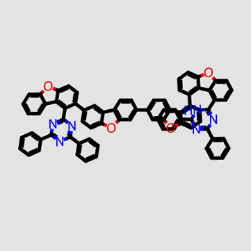 c1ccc(C2=NC(c3ccccc3)NC(c3cccc4oc5cccc(-c6cccc7oc8cc(-c9ccc%10c(c9)oc9ccc(-c%11ccc%12oc%13ccccc%13c%12c%11-c%11nc(-c%12ccccc%12)nc(-c%12ccccc%12)n%11)cc9%10)ccc8c67)c5c34)=N2)cc1